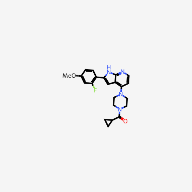 COc1ccc(-c2cc3c(N4CCN(C(=O)C5CC5)CC4)ccnc3[nH]2)c(F)c1